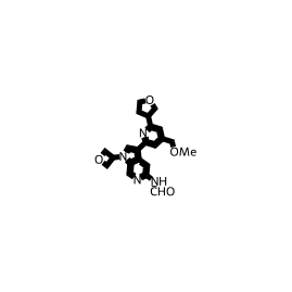 COCc1cc(-c2cn(C3COC3)c3cnc(NC=O)cc23)nc(C2CCOC2)c1